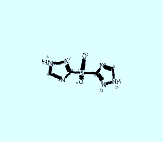 O=S(=O)(c1nc[nH]n1)c1nc[nH]n1